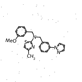 COc1cccc(CN(Cc2cccc(-n3cccn3)c2)c2nc(C)cs2)c1